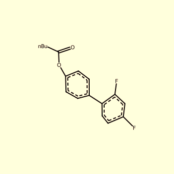 CCCCC(=O)Oc1ccc(-c2ccc(F)cc2F)cc1